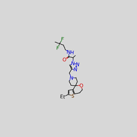 CCc1cc2c(s1)CCOC21CCN(Cc2cn(C(C)C(=O)NCCC(C)(F)F)nn2)CC1